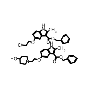 Cc1[nH]c2ccc(OCCCl)cc2c1C(=O)OCc1ccccc1.Cc1[nH]c2ccc(OCCN3CCC(O)CC3)cc2c1C(=O)OCc1ccccc1